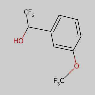 OC(c1cccc(OC(F)(F)F)c1)C(F)(F)F